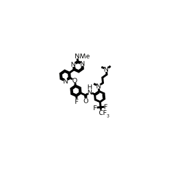 CNc1nccc(-c2cccnc2Oc2ccc(F)c(C(=O)NC3=C(N(C)CCCN(C)C)C=CC(C(F)(F)C(F)(F)F)C3)c2)n1